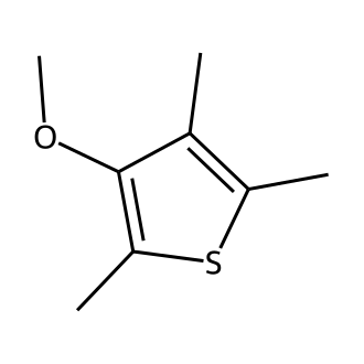 COc1c(C)sc(C)c1C